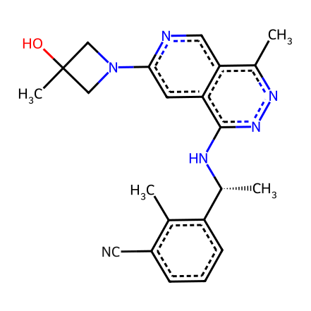 Cc1c(C#N)cccc1[C@@H](C)Nc1nnc(C)c2cnc(N3CC(C)(O)C3)cc12